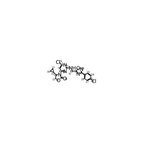 C[C@H](Nc1nc(Cl)cc(N2C(=O)OCC2C2CC2)n1)c1nc(-c2ccc(Cl)cc2)no1